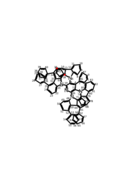 c1ccc(-c2c(-n3c4ccccc4c4ccccc43)c(-n3c4cccc(-c5ccccc5)c4c4c(-c5ccccc5)cccc43)nc(-n3c4cccc(-c5ccccc5)c4c4c(-c5ccccc5)cccc43)c2-n2c3ccccc3c3ccccc32)cc1